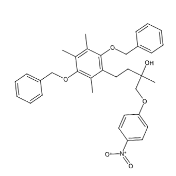 Cc1c(C)c(OCc2ccccc2)c(CCC(C)(O)COc2ccc([N+](=O)[O-])cc2)c(C)c1OCc1ccccc1